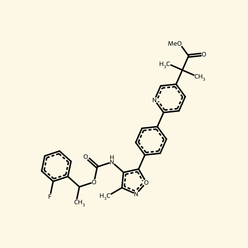 COC(=O)C(C)(C)c1ccc(-c2ccc(-c3onc(C)c3NC(=O)OC(C)c3ccccc3F)cc2)nc1